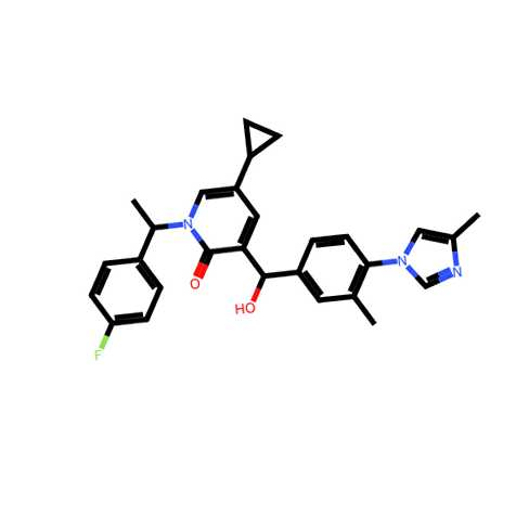 Cc1cn(-c2ccc(C(O)c3cc(C4CC4)cn(C(C)c4ccc(F)cc4)c3=O)cc2C)cn1